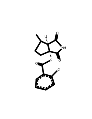 CC1CC[C@]2(SC(=O)c3ccccc3Cl)C(=O)NC(=O)[C@H]12